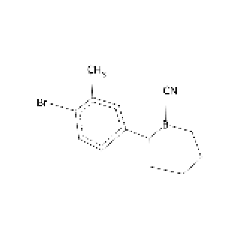 Cc1cc(C2CCCCB2C#N)ccc1Br